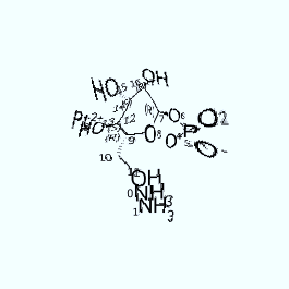 N.N.O=P([O-])([O-])O[C@H]1O[C@H](CO)[C@@H](O)[C@H](O)[C@H]1O.[Pt+2]